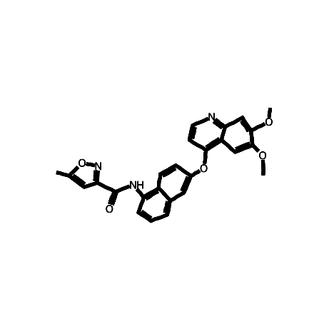 COc1cc2nccc(Oc3ccc4c(NC(=O)c5cc(C)on5)cccc4c3)c2cc1OC